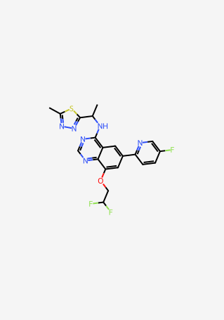 Cc1nnc(C(C)Nc2ncnc3c(OCC(F)F)cc(-c4ccc(F)cn4)cc23)s1